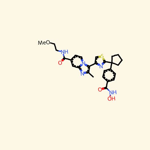 COCCNC(=O)c1ccn2c(-c3csc(C4(c5ccc(C(=O)NO)cc5)CCCC4)n3)c(C)nc2c1